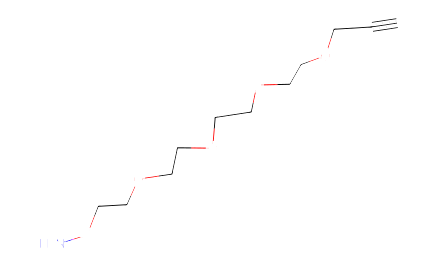 C#CCOCCOCCOCCOCCON